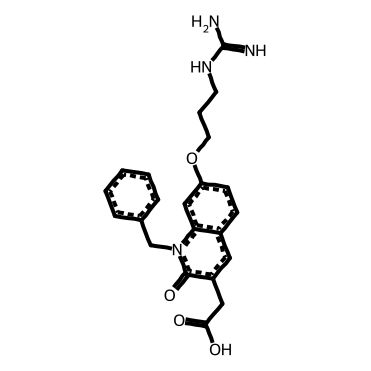 N=C(N)NCCCOc1ccc2cc(CC(=O)O)c(=O)n(Cc3ccccc3)c2c1